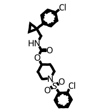 O=C(NCC1(c2ccc(Cl)cc2)CC1)OC1CCN(S(=O)(=O)c2ccccc2Cl)CC1